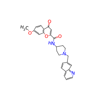 COc1ccc2c(=O)cc(C(=O)NC3CCN(Cc4ccc5cccnc5c4)CC3)oc2c1